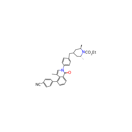 CCOC(=O)N1[C@H](C)CC(Cc2ccc(-n3cc(C)c4c(-c5ccc(C#N)cc5)cccc4c3=O)cc2)C[C@H]1C